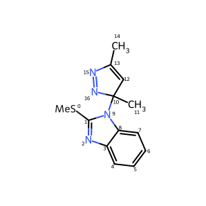 CSc1nc2ccccc2n1C1(C)C=C(C)N=N1